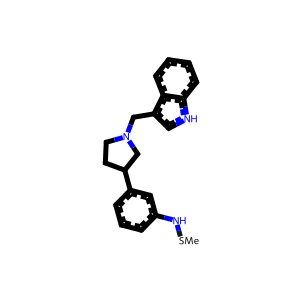 CSNc1cccc(C2CCN(Cc3c[nH]c4ccccc34)C2)c1